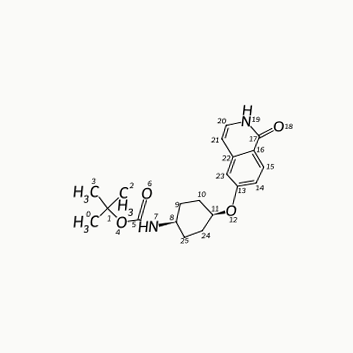 CC(C)(C)OC(=O)N[C@H]1CC[C@@H](Oc2ccc3c(=O)[nH]ccc3c2)CC1